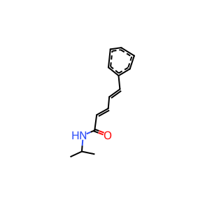 CC(C)NC(=O)C=CC=Cc1ccccc1